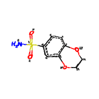 NS(=O)(=O)c1ccc2c(c1)OCCO2